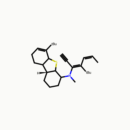 C#C/C(=C(\C=C/C)C(C)(C)C)N(C)C1CCC[C@@H]2C3CCC=C(C(C)(C)C)C3SC12